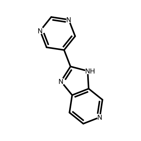 c1cc2nc(-c3cncnc3)[nH]c2cn1